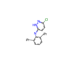 CC(C)c1cccc(C(C)C)c1N=c1ccc(Cl)n[nH]1